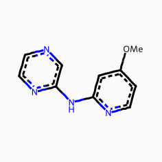 COc1ccnc(Nc2cnccn2)c1